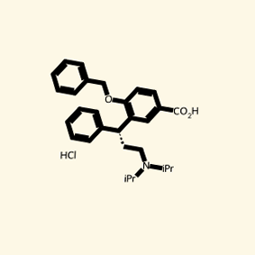 CC(C)N(CC[C@H](c1ccccc1)c1cc(C(=O)O)ccc1OCc1ccccc1)C(C)C.Cl